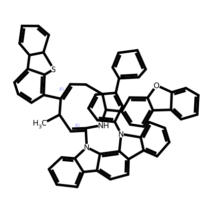 CC1/C=C(/n2c3ccccc3c3ccc4c5ccccc5n(-c5cccc(-c6ccccc6)c5)c4c32)NC(c2ccc3c(c2)oc2ccccc23)CC/C=C\1c1cccc2c1SC1C=CC=CC21